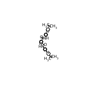 CN(C)C1CCN(c2ccc(NC(=O)c3ccnc(C(=O)Nc4ccc(N5CCC(N(C)C)CC5)cc4)c3)cc2)CC1